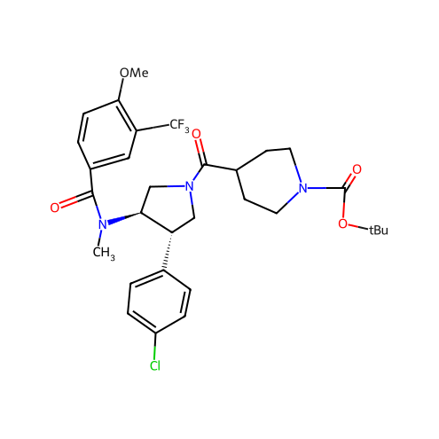 COc1ccc(C(=O)N(C)[C@H]2CN(C(=O)C3CCN(C(=O)OC(C)(C)C)CC3)C[C@@H]2c2ccc(Cl)cc2)cc1C(F)(F)F